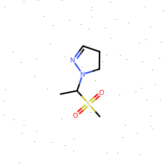 CC(N1CCC=N1)S(C)(=O)=O